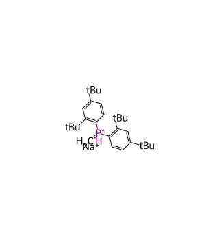 C=[PH-](c1ccc(C(C)(C)C)cc1C(C)(C)C)c1ccc(C(C)(C)C)cc1C(C)(C)C.[Na+]